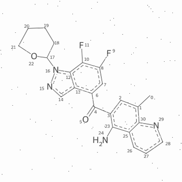 Cc1cc(C(=O)c2cc(F)c(F)c3c2cnn3C2CCCCO2)c(N)c2cccnc12